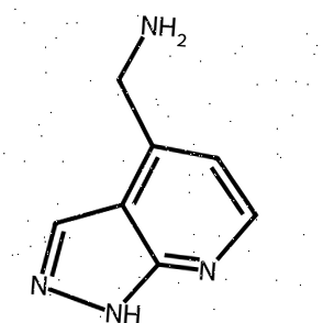 NCc1ccnc2[nH]ncc12